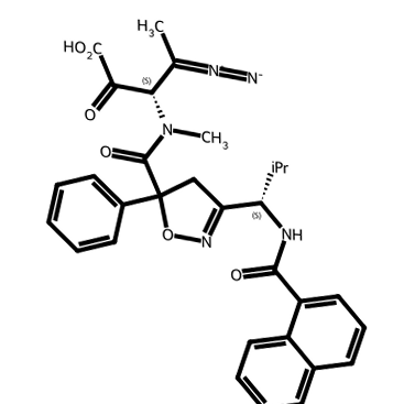 CC(=[N+]=[N-])[C@@H](C(=O)C(=O)O)N(C)C(=O)C1(c2ccccc2)CC([C@@H](NC(=O)c2cccc3ccccc23)C(C)C)=NO1